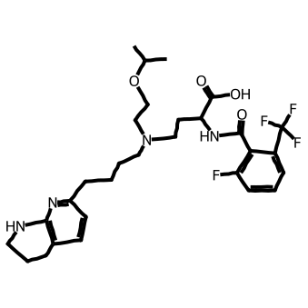 CC(C)OCCN(CCCCc1ccc2c(n1)NCCC2)CCC(NC(=O)c1c(F)cccc1C(F)(F)F)C(=O)O